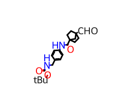 CC(C)(C)OC(=O)NCc1ccc(NC(=O)C23CCC(C=O)(CC2)C3)cc1